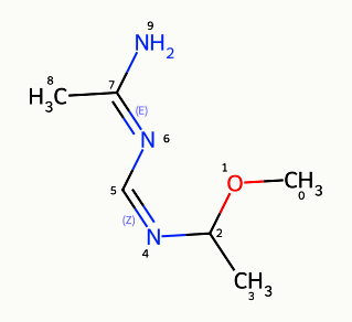 COC(C)/N=C\N=C(/C)N